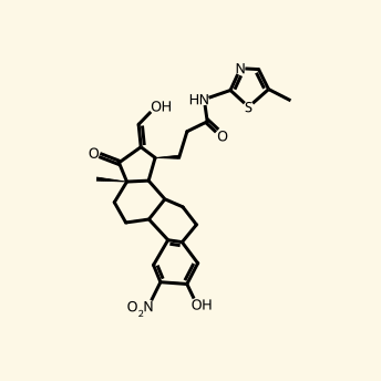 Cc1cnc(NC(=O)CC[C@@H]2/C(=C\O)C(=O)[C@@]3(C)CCC4c5cc([N+](=O)[O-])c(O)cc5CCC4C23)s1